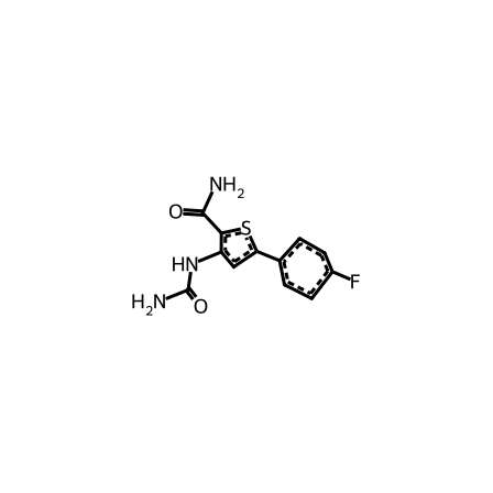 NC(=O)Nc1cc(-c2ccc(F)cc2)sc1C(N)=O